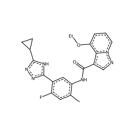 CCOc1cccn2ncc(C(=O)Nc3cc(-c4nnc(C5CC5)[nH]4)c(F)cc3C)c12